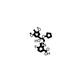 COc1cc(C(O)C(Cn2cc3c(F)ccc(C(=O)O)c3n2)OC2CCCC2)cc(OC)c1C